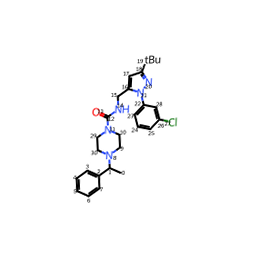 CC(c1ccccc1)N1CCN(C(=O)NCc2cc(C(C)(C)C)nn2-c2cccc(Cl)c2)CC1